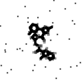 Cc1cccc(-c2sc(C)nc2C(=O)N2CCC2CNC(=O)c2nc3sccn3c2C)c1